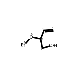 C=CC(CO)OCC